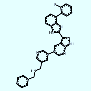 Fc1ccccc1-c1cccc2[nH]c(-c3n[nH]c4ncc(-c5cncc(CNCc6ccccc6)c5)cc34)nc12